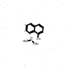 CCCCNCCCC.N#Cc1cccc2ccccc12